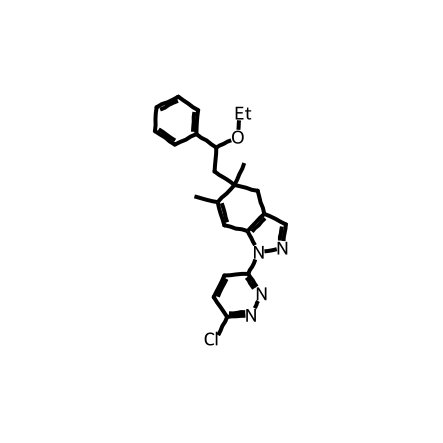 CCOC(CC1(C)Cc2cnn(-c3ccc(Cl)nn3)c2C=C1C)c1ccccc1